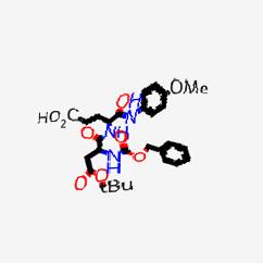 COc1ccc(NC(=O)C(CCC(=O)O)NC(=O)C(CC(=O)OC(C)(C)C)NC(=O)OCc2ccccc2)cc1